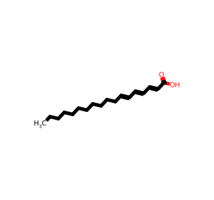 CCCCCCCCCCC/C=C/C=CC=CC(=O)O